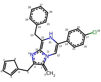 C=c1c(CC2=CC=CC2)nc2n1C=C(c1ccc(Cl)cc1)NC=2Cc1ccccc1